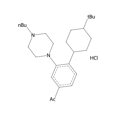 CCCCN1CCN(c2cc(C(C)=O)ccc2C2CCC(C(C)(C)C)CC2)CC1.Cl